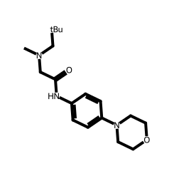 CN(CC(=O)Nc1ccc(N2CCOCC2)cc1)CC(C)(C)C